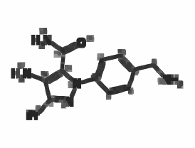 CC(C)c1nn(-c2ccc(CN)cc2)c(C(N)=O)c1N